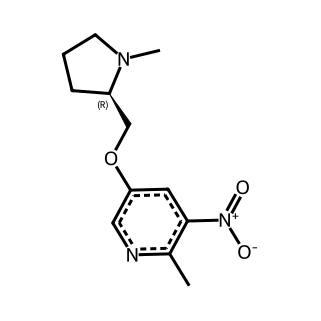 Cc1ncc(OC[C@H]2CCCN2C)cc1[N+](=O)[O-]